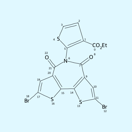 CCOC(=O)c1ccsc1-n1c(=O)c2cc(Br)sc2c2sc(Br)cc2c1=O